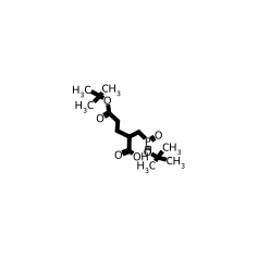 CC(C)(C)OC(=O)CCC(C[PH](=O)OC(C)(C)C)C(=O)O